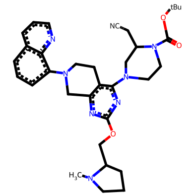 CN1CCCC1COc1nc2c(c(N3CCN(C(=O)OC(C)(C)C)C(CC#N)C3)n1)CCN(c1cccc3cccnc13)C2